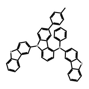 Cc1ccc(-c2ccc3c(c2)c2c(N(c4ccccc4)c4ccc5sc6ccccc6c5c4)cccc2n3-c2ccc3sc4ccccc4c3c2)cc1